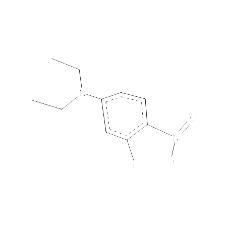 CCN(CC)c1ccc([N+](=O)[O-])c(F)c1